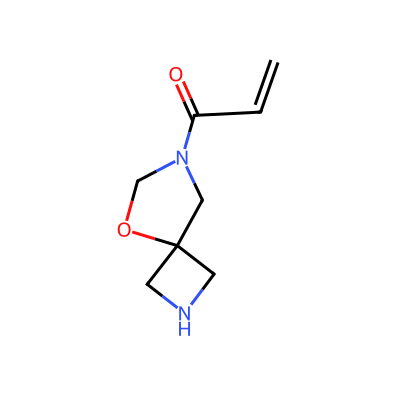 C=CC(=O)N1COC2(CNC2)C1